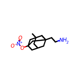 CC12CC3CC(CCN)(C1)CC(O[N+](=O)[O-])(C3)C2